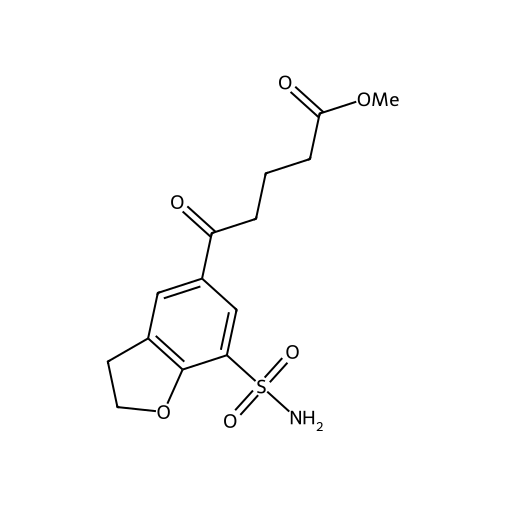 COC(=O)CCCC(=O)c1cc2c(c(S(N)(=O)=O)c1)OCC2